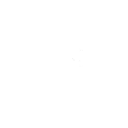 CC(COC=O)C1COCC(=O)N1Cc1ccccc1